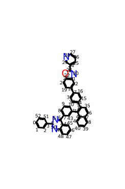 c1ccc(-c2nc(-c3cccc(-c4c(-c5ccc(-c6ccc7oc(-c8cccnc8)nc7c6)cc5)ccc5ccccc45)c3)c3ccccc3n2)cc1